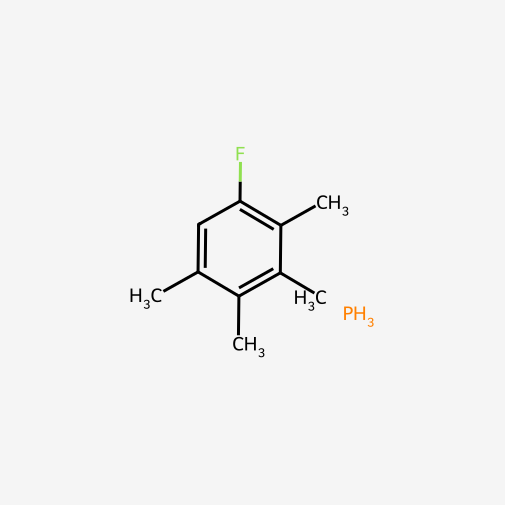 Cc1cc(F)c(C)c(C)c1C.P